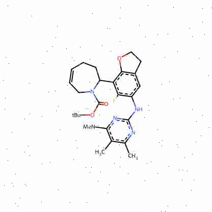 CNc1nc(Nc2cc3c(c(C4CCC=CCN4C(=O)OC(C)(C)C)c2F)OCC3)nc(C)c1C